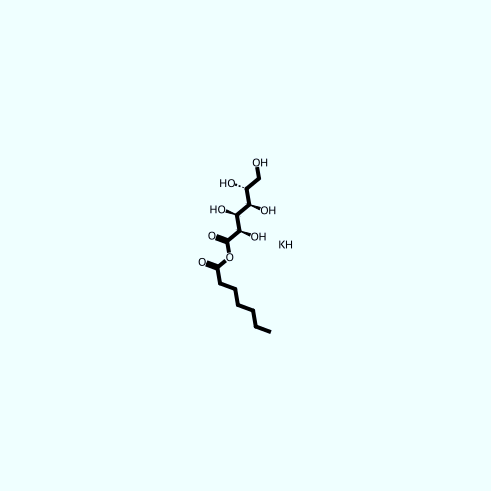 CCCCCCC(=O)OC(=O)[C@H](O)[C@@H](O)[C@H](O)[C@H](O)CO.[KH]